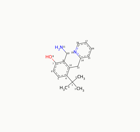 CC(C)(C)c1ccc(O)c(CN)c1Cc1ccccn1